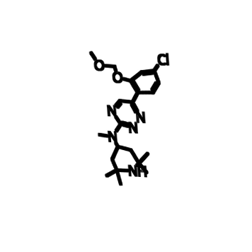 COCOc1cc(Cl)ccc1-c1cnc(N(C)C2CC(C)(C)NC(C)(C)C2)nn1